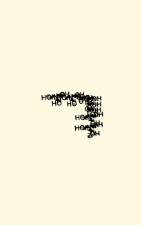 O=C([O-])CO.O=C([O-])CO.O=C([O-])CO.O=C([O-])CO.OCCN(CCO)CCO.OCCN(CCO)CCO.OCCN(CCO)CCO.OCCN(CCO)CCO.[Zr+4]